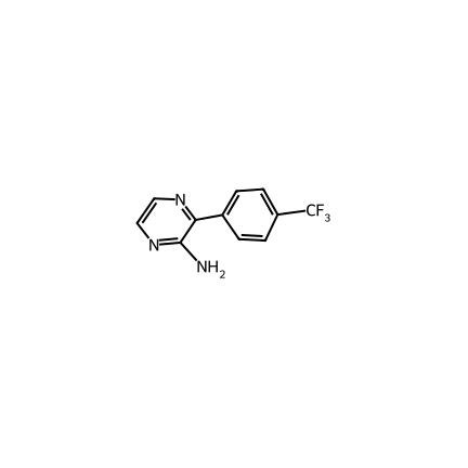 Nc1nccnc1-c1ccc(C(F)(F)F)cc1